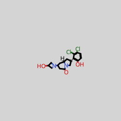 O=C1CC(N2CC(O)C2)C[C@@H]2C[C@H](c3c(O)ccc(Cl)c3Cl)CN12